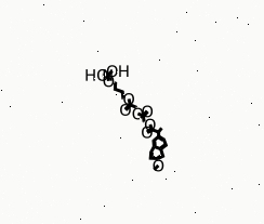 COc1ccc2cc(C(C)C(=O)OCC(=O)OCC(=O)OCCCCON(O)O)ccc2c1